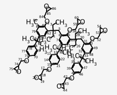 CCC(CC)(Cc1cc(C(C)(C)c2ccc(OCC3CO3)cc2)cc(C(CC)(CC)Cc2cc(C(C)(C)c3ccc(OCC4CO4)cc3)ccc2OCC2CO2)c1OCC1CO1)c1cc(C(C)(C)c2ccc(OCC3CO3)cc2)cc(C)c1OCC1CO1